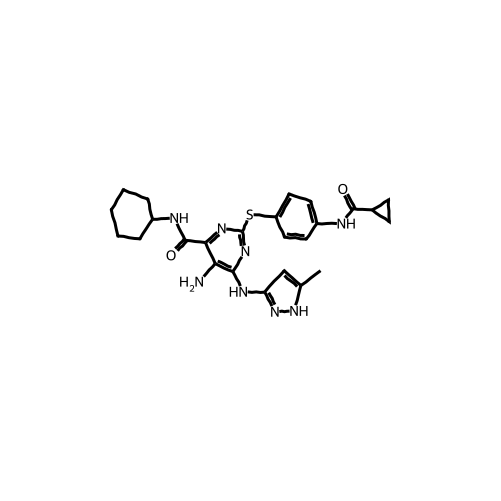 Cc1cc(Nc2nc(Sc3ccc(NC(=O)C4CC4)cc3)nc(C(=O)NC3CCCCC3)c2N)n[nH]1